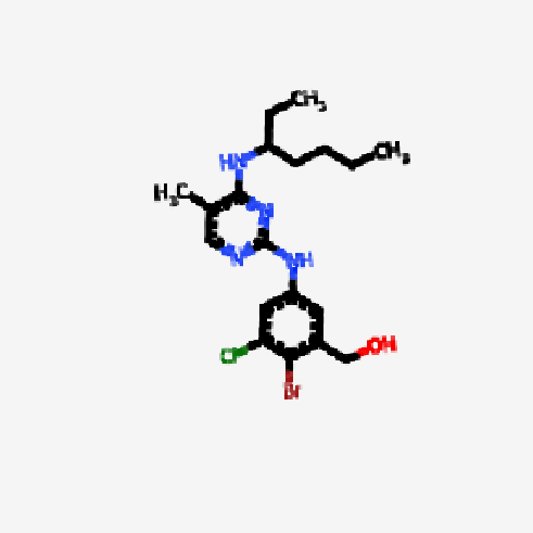 CCCCC(CC)Nc1nc(Nc2cc(Cl)c(Br)c(CO)c2)ncc1C